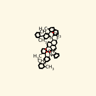 Cc1cccc(C)c1-c1ccc(N(C2=C3C=CC4=C5C(=CC=C(C=C2)C35)C(N(c2ccccc2F)c2ccc(-c3c(C)cccc3C)cc2-c2c(C)cccc2C)C=C4)c2ccccc2F)c(-c2c(C)cccc2C)c1